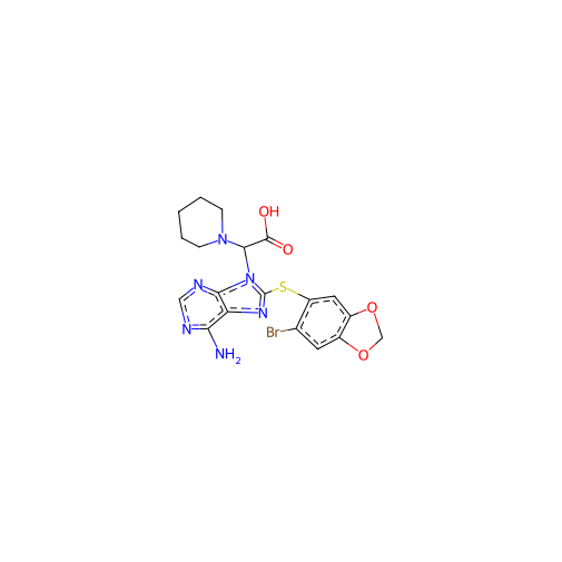 Nc1ncnc2c1nc(Sc1cc3c(cc1Br)OCO3)n2C(C(=O)O)N1CCCCC1